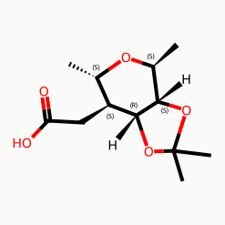 C[C@@H]1O[C@@H](C)[C@@H]2OC(C)(C)O[C@@H]2[C@H]1CC(=O)O